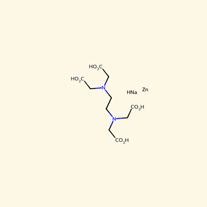 O=C(O)CN(CCN(CC(=O)O)CC(=O)O)CC(=O)O.[NaH].[Zn]